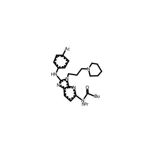 CCCN(C(=O)C(C)CC)c1ccc2nc(Nc3ccc(C(C)=O)cc3)n(CCCN3CCCCC3)c2n1